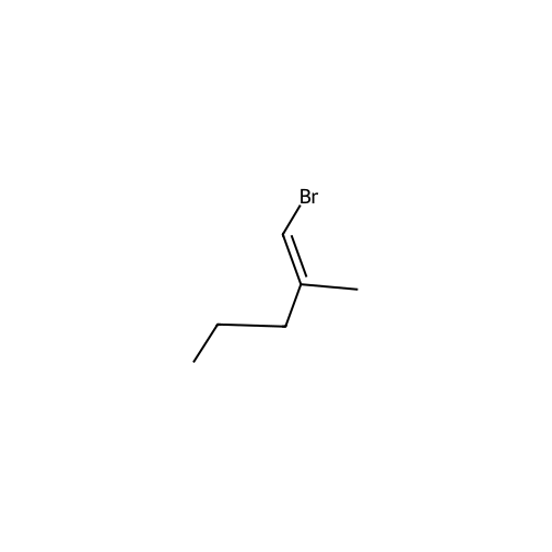 CCCC(C)=CBr